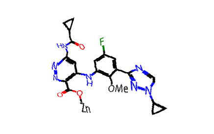 COc1c(Nc2cc(NC(=O)C3CC3)nnc2C(=O)[O][Zn])cc(F)cc1-c1ncn(C2CC2)n1